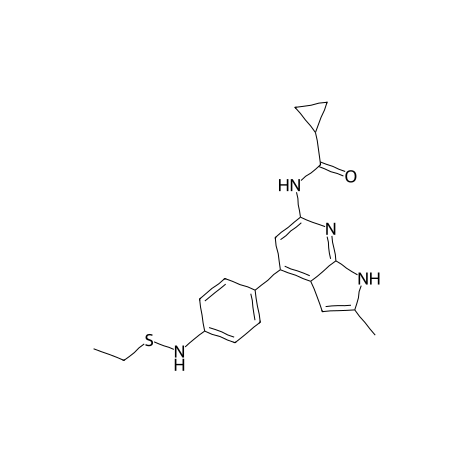 CCSNc1ccc(-c2cc(NC(=O)C3CC3)nc3[nH]c(C)cc23)cc1